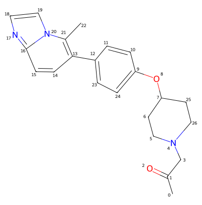 CC(=O)CN1CCC(Oc2ccc(-c3ccc4nccn4c3C)cc2)CC1